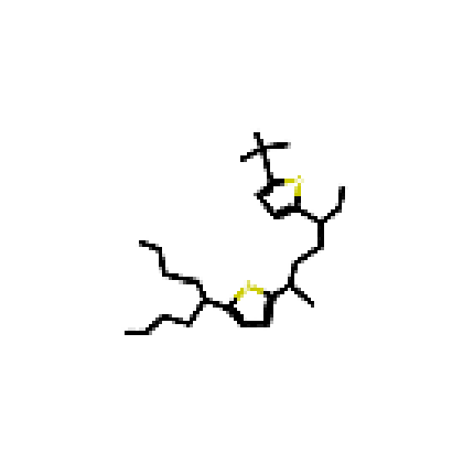 CCCCC(CCCC)c1ccc(C(C)CCC(CC)c2ccc(C(C)(C)C)s2)s1